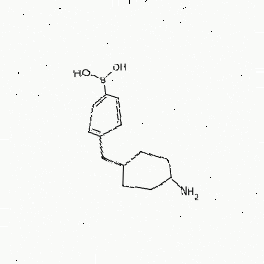 NC1CCC(Cc2ccc(B(O)O)cc2)CC1